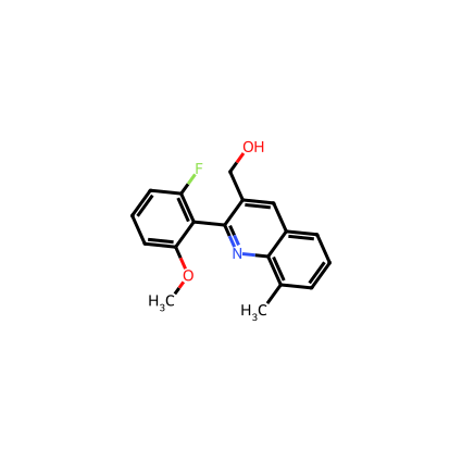 COc1cccc(F)c1-c1nc2c(C)cccc2cc1CO